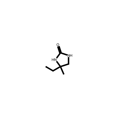 CCC1(C)CNC(=O)N1